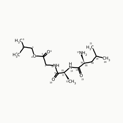 CC(C)COC(=O)CNC(=O)[C@H](C)NC(=O)[C@@H](N)CC(C)C